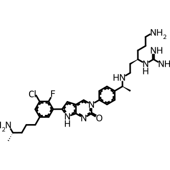 C[C@H](N)CCCc1cc(Cl)c(F)c(-c2cc3cn(-c4ccc([C@H](C)NCC[C@@H](CCCN)NC(=N)N)cc4)c(=O)nc3[nH]2)c1